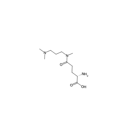 CN(C)CCCN(C)C(=O)CC[C@H](N)C(=O)O